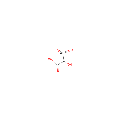 O=C(O)C(O)[As](=O)=O